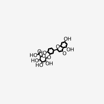 O=C(O)[C@H]1O[C@@H](Oc2cc(-c3cc(=O)c4c(O)cc(O)cc4o3)ccc2O)[C@H](O)[C@@H](O)[C@@H]1O